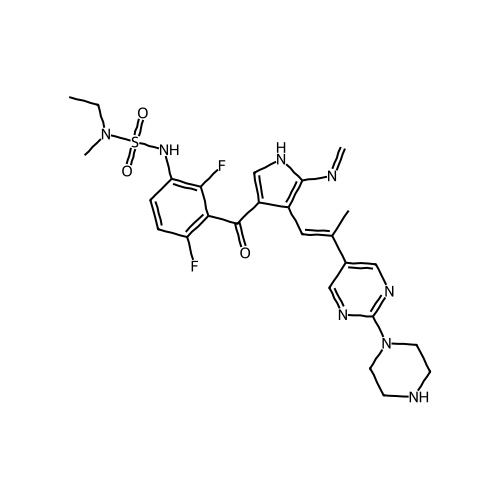 C=Nc1[nH]cc(C(=O)c2c(F)ccc(NS(=O)(=O)N(C)CC)c2F)c1/C=C(\C)c1cnc(N2CCNCC2)nc1